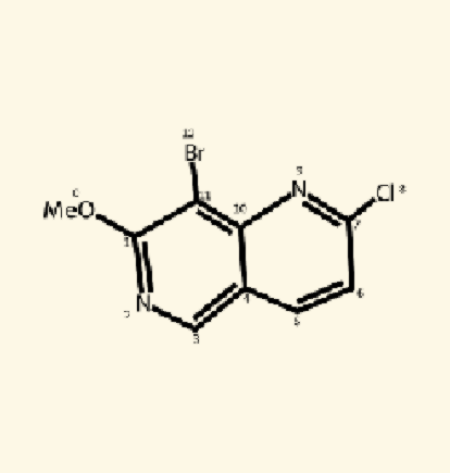 COc1ncc2ccc(Cl)nc2c1Br